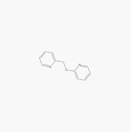 [c]1ccc(OCc2ccccn2)nc1